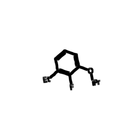 CCc1cccc(OC(C)C)c1F